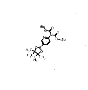 CC(C)(C)OC(=O)N(C(=O)OC(C)(C)C)c1ccc(B2OC(C)(C)C(C)(C)O2)cn1